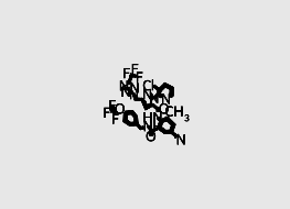 Cc1cc(C#N)cc(C(=O)NCc2ccc(OC(F)(F)F)cc2)c1NC(=O)c1cc(Cn2nnc(C(F)(F)F)n2)nn1-c1ncccc1Cl